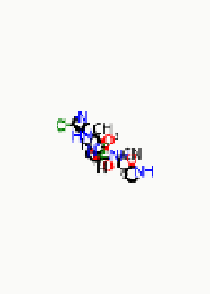 C[C@H](Nc1cncc(Cl)c1)C(=O)N1[C@H]2CC[C@@H]([C@@H]1C(=O)N[C@H](C#N)C[C@H]1CCCNC1=O)C(F)(F)C2